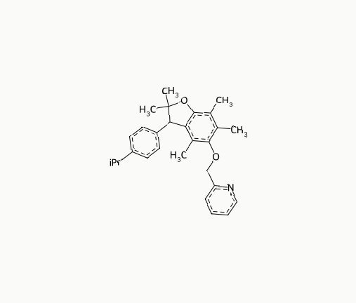 Cc1c(C)c2c(c(C)c1OCc1ccccn1)C(c1ccc(C(C)C)cc1)C(C)(C)O2